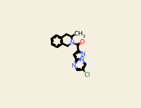 CC1Cc2ccccc2CN1C(=O)c1cc2ncc(Cl)cn2n1